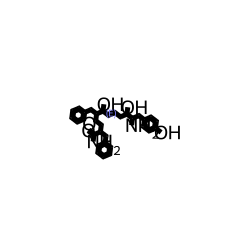 NC(=O)C(CC(=O)C(Cc1ccccc1)C(O)/C=C/CC(O)C(N)Cc1ccc(O)cc1)Cc1ccccc1